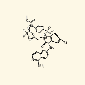 COC(=O)Nc1ccc(S(=O)(=O)C(C)C)c([C@@H](CC(=O)OC(=O)C(F)(F)F)NC(=O)[C@H](Nc2ccc3c(N)nccc3c2)c2cc(Cl)ccc2F)c1